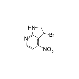 O=[N+]([O-])c1ccnc2c1C(Br)CN2